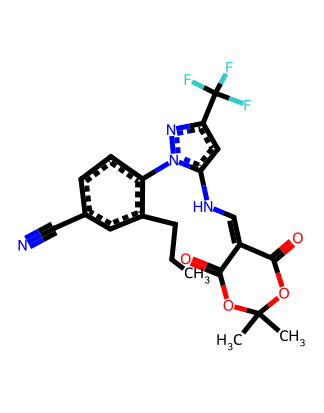 CCCc1cc(C#N)ccc1-n1nc(C(F)(F)F)cc1NC=C1C(=O)OC(C)(C)OC1=O